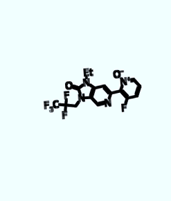 CCn1c(=O)n(CC(F)(F)C(F)(F)F)c2cnc(-c3c(F)ccc[n+]3[O-])cc21